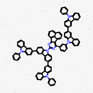 c1ccc(-n2c3ccccc3c3cc(-c4ccc5c(c4)c4ccccc4n5-c4cccc(-c5nc(-n6c7ccc(-c8ccc9c(c8)c8ccccc8n9-c8ccccc8)cc7c7cc(-c8ccc9c(c8)c8ccccc8n9-c8ccccc8)ccc76)nc6c5-c5cccc7cccc-6c57)c4)ccc32)cc1